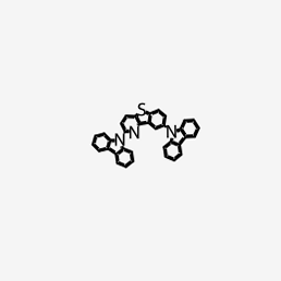 c1ccc2c(c1)c1ccccc1n2-c1ccc2sc3ccc(-n4c5ccccc5c5ccccc54)nc3c2c1